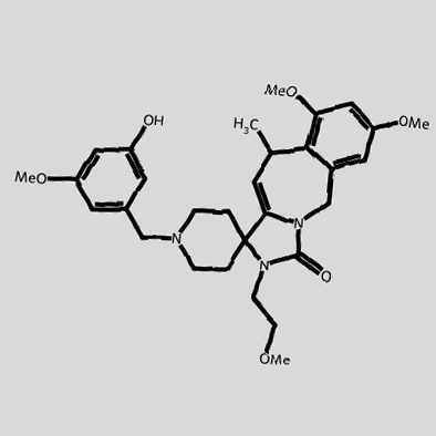 COCCN1C(=O)N2Cc3cc(OC)cc(OC)c3C(C)C=C2C12CCN(Cc1cc(O)cc(OC)c1)CC2